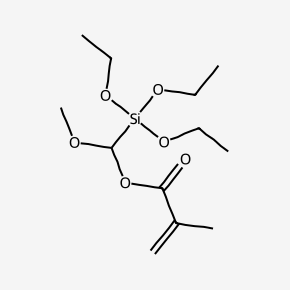 C=C(C)C(=O)OC(OC)[Si](OCC)(OCC)OCC